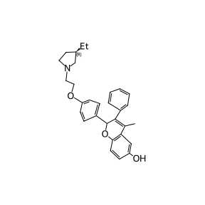 CC[C@@H]1CCN(CCOc2ccc(C3Oc4ccc(O)cc4C(C)=C3c3ccccc3)cc2)C1